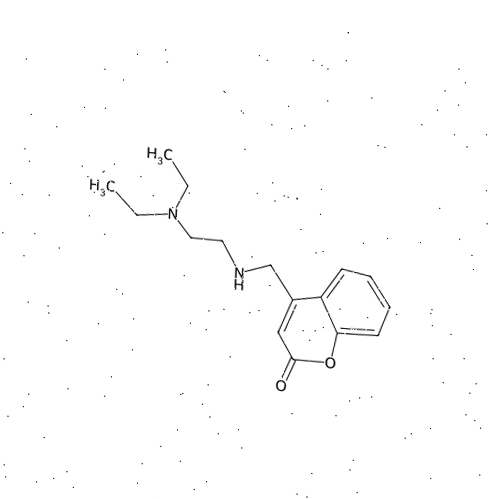 CCN(CC)CCNCc1cc(=O)oc2ccccc12